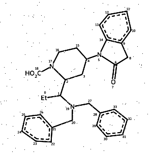 CCC(C1CC(N2C(=O)Cc3ccccc32)CCN1C(=O)O)N(Cc1ccccc1)Cc1ccccc1